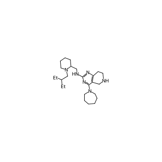 CCC(CC)CN1CCCCC1CNc1nc2c(c(N3CCCCCC3)n1)CNCC2